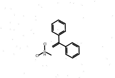 C=C(c1ccccc1)c1ccccc1.C[SiH](Cl)Cl